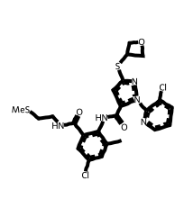 CSCCNC(=O)c1cc(Cl)cc(C)c1NC(=O)c1cc(SC2COC2)nn1-c1ncccc1Cl